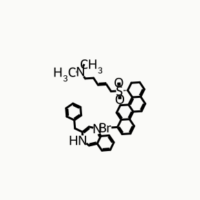 C1=C(Cc2ccccc2)NC=c2ccccc2=N1.CN(C)CCC=CCS(=O)(=O)[C@@H]1CCC=c2ccc3c(c21)CC=c1c(Br)cccc1=3